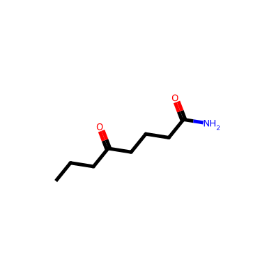 CCCC(=O)CCCC(N)=O